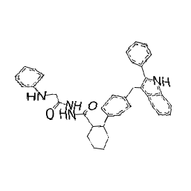 O=C(CNc1ccccc1)NNC(=O)C1CCCCC1c1ccc(Cc2c(-c3ccccc3)[nH]c3ccccc23)cc1